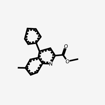 COC(=O)c1cc(-c2ccccc2)c2cc(C)ccc2n1